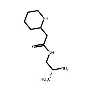 N[C@@H](CNC(=O)CC1CCCCN1)C(=O)O